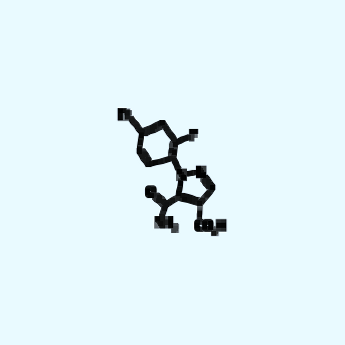 CCc1ccc(-n2ncc(C(=O)O)c2C(N)=O)c(F)c1